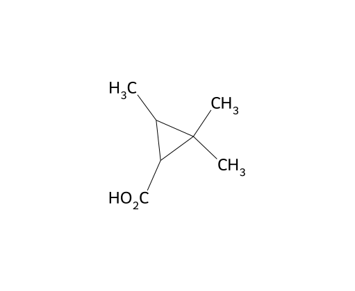 CC1C(C(=O)O)C1(C)C